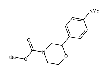 CNc1ccc(C2CN(C(=O)OC(C)(C)C)CCO2)cc1